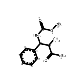 CCCCC(=O)C(C)C(NC(=O)OC(C)(C)C)c1ccccc1